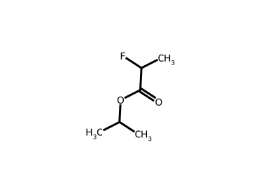 CC(C)OC(=O)C(C)F